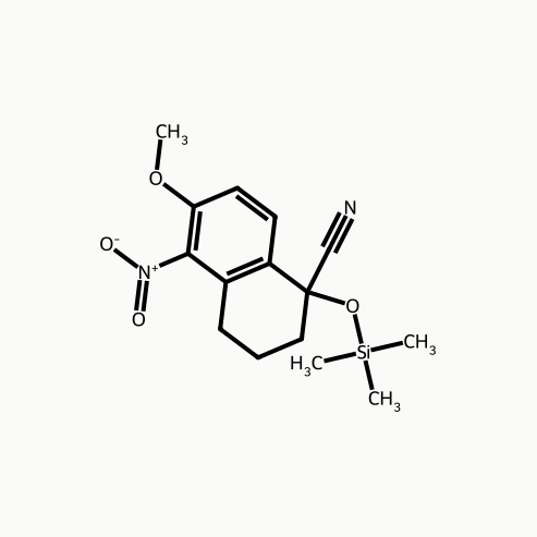 COc1ccc2c(c1[N+](=O)[O-])CCCC2(C#N)O[Si](C)(C)C